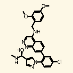 CNC(O)c1cnn(-c2ccc(Cl)cc2-c2ccc3c(NCc4ccc(OC)cc4OC)cnnc3c2)c1